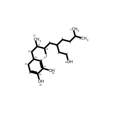 CC(C)CCC(CCO)CC(I)C(C)CC1C=C(O)C(O)=CC1